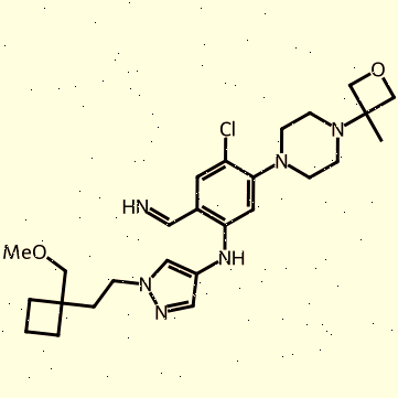 COCC1(CCn2cc(Nc3cc(N4CCN(C5(C)COC5)CC4)c(Cl)cc3C=N)cn2)CCC1